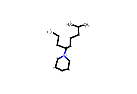 CCCC(C[CH]CC(C)C)N1CCCCC1